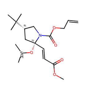 C=CCOC(=O)N1C[C@@H](C(C)(C)C)C[C@@]1(C=CC(=O)OC)O[SiH](C)C